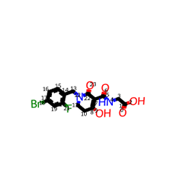 O=C(O)CNC(=O)C1=C(O)CCN(Cc2ccc(Br)cc2F)C1=O